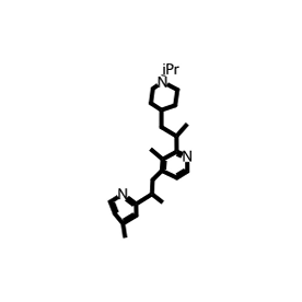 Cc1ccnc(C(C)Cc2ccnc(C(C)CC3CCN(C(C)C)CC3)c2C)c1